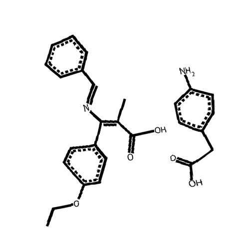 CCOc1ccc(C(N=Cc2ccccc2)=C(C)C(=O)O)cc1.Nc1ccc(CC(=O)O)cc1